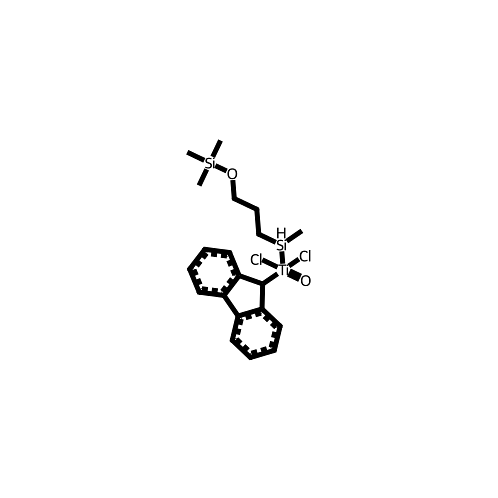 C[SiH](CCCO[Si](C)(C)C)[Ti](=[O])([Cl])([Cl])[CH]1c2ccccc2-c2ccccc21